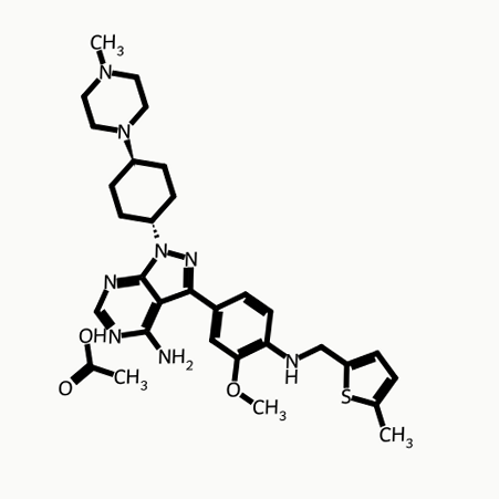 CC(=O)O.COc1cc(-c2nn([C@H]3CC[C@H](N4CCN(C)CC4)CC3)c3ncnc(N)c23)ccc1NCc1ccc(C)s1